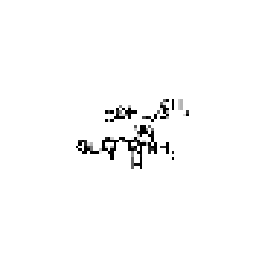 COCCOc1nc(N)c2[nH]cc(Cc3ccc(CN4CCCC4)nc3)c2n1.O=CO